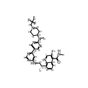 CNC(=O)c1c(F)cnc2c([C@H](C)CNc3cc(-c4cnc(N(C)C5CCN(CC(F)(F)F)CC5)nc4)ncn3)cccc12